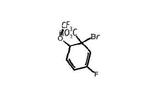 O=C(O)C1(Br)C=C(F)C=CC1OC(F)(F)F